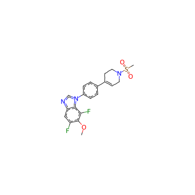 COc1c(F)cc2ncn(-c3ccc(C4=CCN(S(C)(=O)=O)CC4)cc3)c2c1F